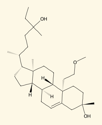 CCC(C)(O)CC[C@@H](C)[C@H]1CC[C@H]2[C@@H]3CC=C4C[C@@](C)(O)CC[C@]4(CCOC)[C@H]3CC[C@]12C